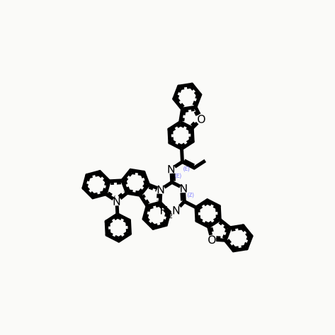 C/C=C(/N=C(\N=C(/N)c1ccc2c(c1)oc1ccccc12)n1c2ccccc2c2c1ccc1c3ccccc3n(-c3ccccc3)c12)c1ccc2c(c1)oc1ccccc12